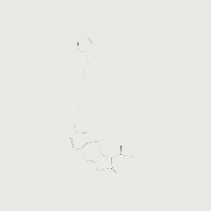 CC1c2cc(OCCCCCCCn3ccnc3)ccc2N=C2NC(=O)C(C(N)=O)N21